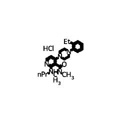 CCCNc1nccc(N2CCN(c3ccccc3CC)CC2)c1C(=O)N(C)C.Cl